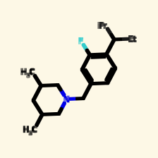 CCC(c1ccc(CN2CC(C)CC(C)C2)cc1F)C(C)C